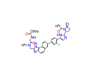 CCCC(=O)N1C(c2ncc(-c3ccc(-c4ccc5c(ccc6nc(CN(CCC)C(=O)CNC(=O)OC)[nH]c65)c4)cc3F)[nH]2)CC[C@@H]1CC